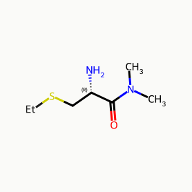 CCSC[C@H](N)C(=O)N(C)C